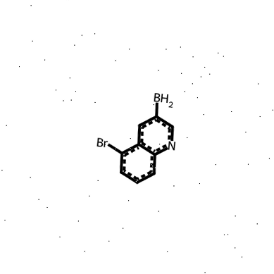 Bc1cnc2cccc(Br)c2c1